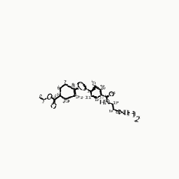 CCOC(=O)C1CCC(Oc2ccc(C(=O)NCCN)cc2)CC1